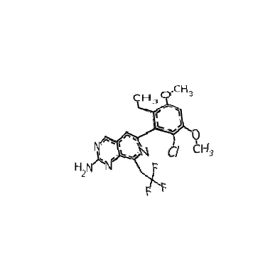 CCc1c(OC)cc(OC)c(Cl)c1-c1cc2cnc(N)nc2c(CC(F)(F)F)n1